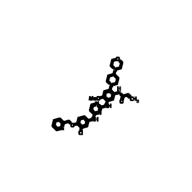 C=CC(=O)Nc1cc(Nc2nccc(Nc3ccc(OCc4ccccn4)c(Cl)c3)n2)c(OC)cc1N1CCC(N2CCOCC2)CC1